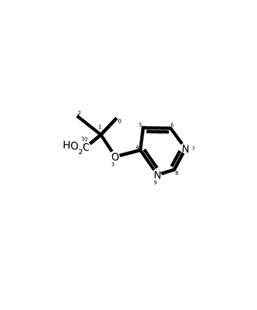 CC(C)(Oc1ccncn1)C(=O)O